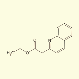 CCOC(=O)Cc1ccc2ccccc2n1